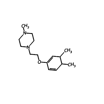 CC1C=CC(OCCN2CCN(C)CC2)=CC1C